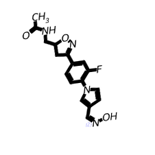 CC(=O)NCC1CC(c2ccc(-n3ccc(/C=N\O)c3)c(F)c2)=NO1